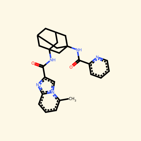 Cc1cccc2nc(C(=O)NC34CC5CC(CC(NC(=O)c6ccccn6)(C5)C3)C4)cn12